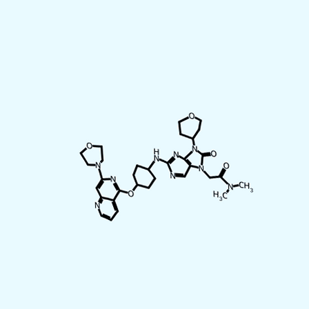 CN(C)C(=O)Cn1c(=O)n(C2CCOCC2)c2nc(NC3CCC(Oc4nc(N5CCOCC5)cc5ncccc45)CC3)ncc21